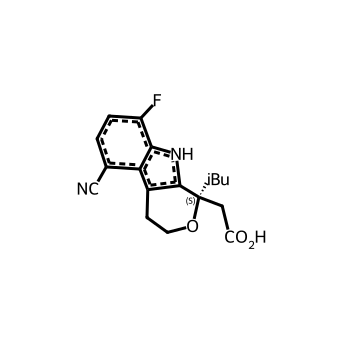 CCC(C)[C@]1(CC(=O)O)OCCc2c1[nH]c1c(F)ccc(C#N)c21